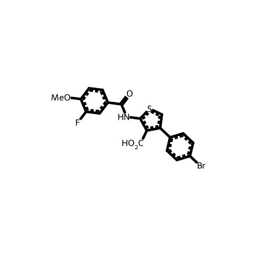 COc1ccc(C(=O)Nc2scc(-c3ccc(Br)cc3)c2C(=O)O)cc1F